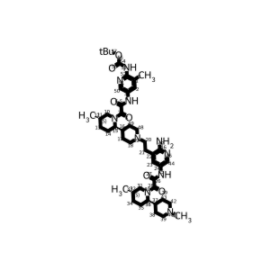 Cc1cc(NC(=O)C(=O)N2C[C@@H](C)CC[C@@H]2C2CCN(CCc3cc(NC(=O)C(=O)N4C[C@@H](C)CC[C@@H]4C4CCN(C)CC4)cnc3N)CC2)cnc1NC(=O)OC(C)(C)C